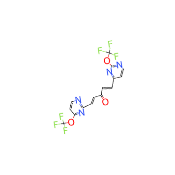 O=C(/C=C/c1ccnc(OC(F)(F)F)n1)/C=C/c1nccc(OC(F)(F)F)n1